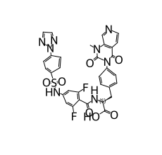 Cn1c(=O)n(-c2ccc(C[C@H](NC(=O)c3c(F)cc(NS(=O)(=O)c4ccc(-n5nccn5)cc4)cc3F)C(=O)O)cc2)c(=O)c2ccncc21